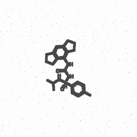 Cc1ccc([SH](=O)(NC(=O)Nc2c3c(cc4c2CCC4)CCC3)NC(C)C)cc1